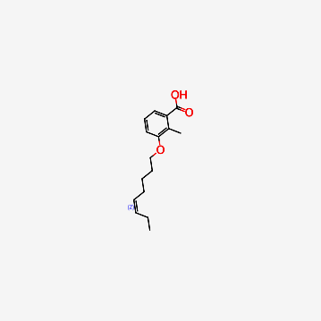 CC/C=C\CCCCOc1cccc(C(=O)O)c1C